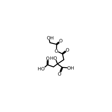 O=C(O)CC(O)(CC(=O)OC(=O)CO)C(=O)O